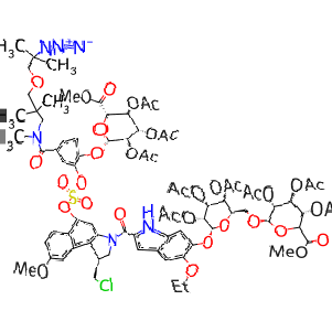 CCOc1cc2cc(C(=O)N3C[C@@H](CCl)c4c3cc(OS(=O)(=O)Oc3cc(C(=O)N(C)CC(C)(C)COCC(C)(C)N=[N+]=[N-])ccc3O[C@@H]3O[C@H](C(=O)OC)[C@@H](OC(C)=O)[C@H](OC(C)=O)[C@H]3OC(C)=O)c3ccc(OC)cc43)[nH]c2cc1O[C@@H]1O[C@H](CO[C@@H]2OC(C(=O)OC)[C@@H](OC(C)=O)[C@H](OC(C)=O)[C@H]2OC(C)=O)[C@H](OC(C)=O)[C@H](OC(C)=O)[C@H]1OC(C)=O